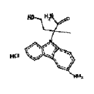 CC(CCO)(C(N)=O)n1c2ccccc2c2cc(N)ccc21.Cl